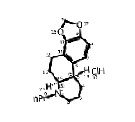 CCCN1CCC[C@H]2c3ccc4c(c3CC[C@@H]21)OCO4.Cl